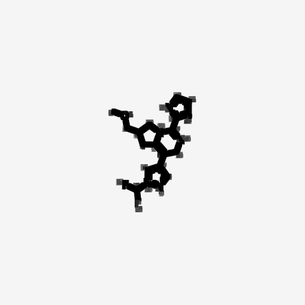 COCC1CC2=C(c3cnn(C(F)F)c3)CN=C(c3nccs3)N2C1